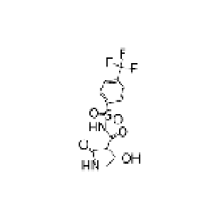 O=C1NCC(O)C1C(=O)NS(=O)(=O)c1ccc(C(F)(F)F)cc1